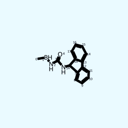 CBNC(=O)NC1c2ccccc2-c2ccccc21